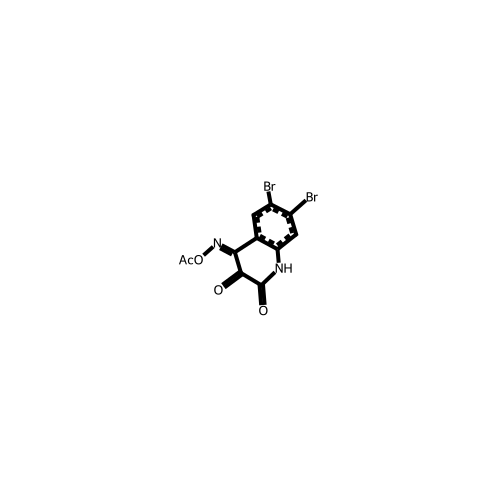 CC(=O)ON=C1C(=O)C(=O)Nc2cc(Br)c(Br)cc21